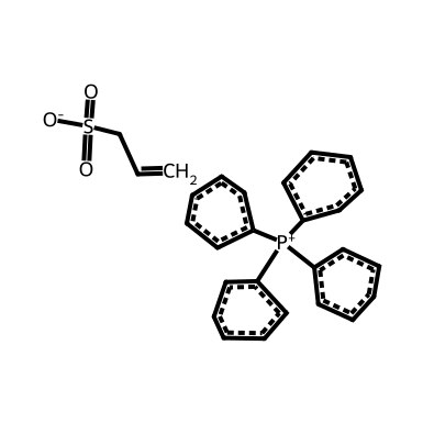 C=CCS(=O)(=O)[O-].c1ccc([P+](c2ccccc2)(c2ccccc2)c2ccccc2)cc1